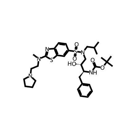 CC(C)CN(C[C@@H](O)[C@H](Cc1ccccc1)NC(=O)OC(C)(C)C)S(=O)(=O)c1ccc2nc(N(C)CCN3CCCC3)sc2c1